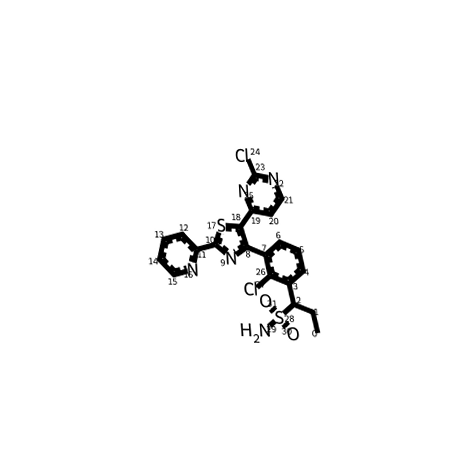 CCC(c1cccc(-c2nc(-c3ccccn3)sc2-c2ccnc(Cl)n2)c1Cl)S(N)(=O)=O